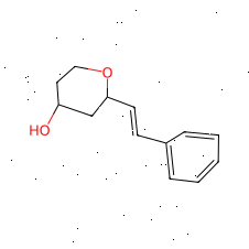 OC1CCOC(C=Cc2ccccc2)C1